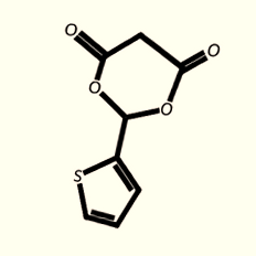 O=C1CC(=O)OC(c2cccs2)O1